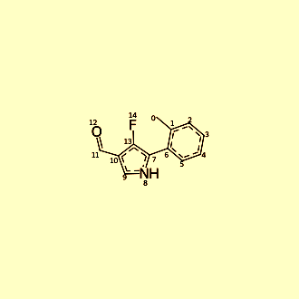 Cc1ccccc1-c1[nH]cc(C=O)c1F